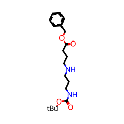 CC(C)(C)OC(=O)NCCCNCCCC(=O)OCc1ccccc1